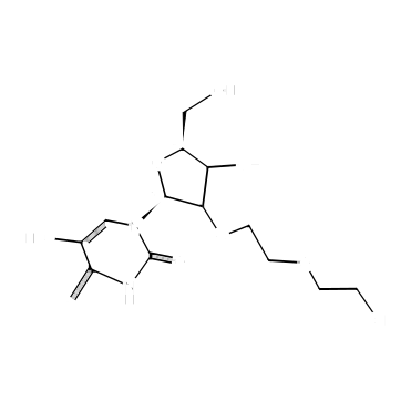 Cc1cn([C@H]2O[C@@H](CO)C(O)C2OCCOCCCl)c(=O)[nH]c1=O